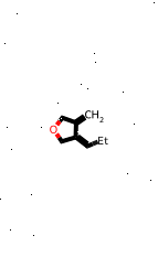 C=C1COC/C1=C/CC